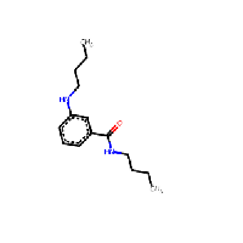 CCCCNC(=O)c1cccc(NCCCC)c1